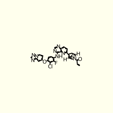 C=CC(=O)N1C[C@H]2CC[C@@H]1CN2c1ccc2ncnc(Nc3ccc(Oc4ccn5ncnc5c4)c(Cl)c3F)c2n1